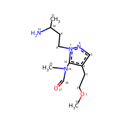 COCCc1cnn(CCC(C)N)c1N(C)C=O